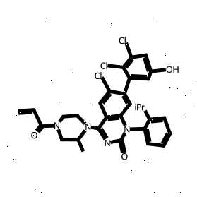 C=CC(=O)N1CCN(c2nc(=O)n(-c3ccccc3C(C)C)c3cc(-c4cc(O)cc(Cl)c4Cl)c(Cl)cc23)C(C)C1